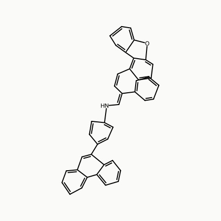 C(=C/c1cccc2oc3ccccc3c12)/C(=C\Nc1ccc(-c2cc3ccccc3c3ccccc23)cc1)c1ccccc1